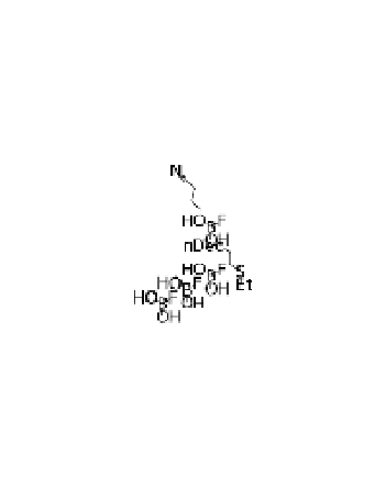 CCCC#N.CCCCCCCCCCCCSCC.OB(O)F.OB(O)F.OB(O)F.OB(O)F